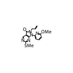 C=CCn1c(=O)c2cnc(SC)nc2n1-c1cccc(OC)n1